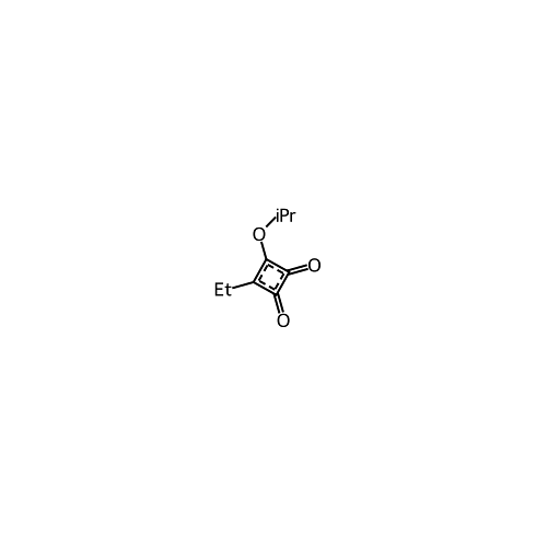 CCc1c(OC(C)C)c(=O)c1=O